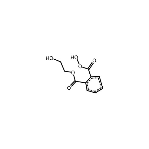 O=C(OO)c1ccccc1C(=O)OCCO